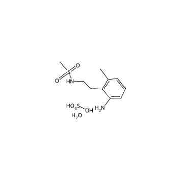 Cc1cccc(N)c1CCNS(C)(=O)=O.O.O=S(=O)(O)O